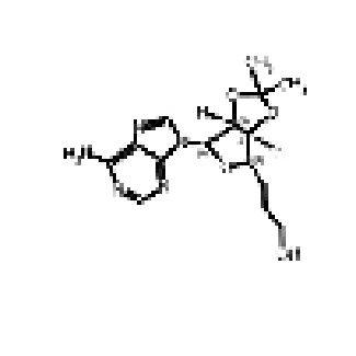 CC1(C)O[C@@H]2[C@H](O1)[C@@H](CCCO)O[C@H]2n1cnc2c(N)ncnc21